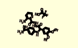 CCOc1cc(C(Nc2ccc(C(=N)N)cc2)C(=O)NNC(=O)c2ncccc2N)ccc1OC(C)C.O=C(O)C(F)(F)F